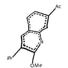 COc1nc2cc(C(C)=O)ccc2cc1C(C)C